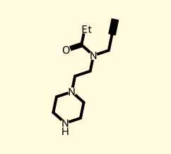 C#CCN(CCN1CCNCC1)C(=O)CC